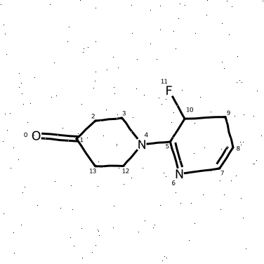 O=C1CCN(C2=NC=CCC2F)CC1